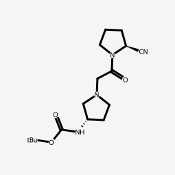 CC(C)(C)OC(=O)N[C@H]1CCN(CC(=O)N2CCC[C@H]2C#N)C1